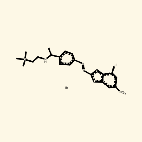 CC(NCC[N+](C)(C)C)c1ccc(N=Nc2nc3c(Cl)cc([N+](=O)[O-])cc3s2)cc1.[Br-]